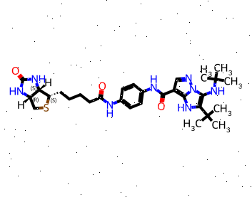 CC(C)(C)Nc1c(C(C)(C)C)[nH]c2c(C(=O)Nc3ccc(NC(=O)CCCC[C@@H]4SC[C@@H]5NC(=O)N[C@@H]54)cc3)cnn12